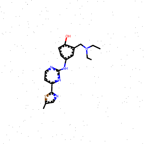 CCN(CC)Cc1cc(Nc2nccc(-c3ncc(C)s3)n2)ccc1O